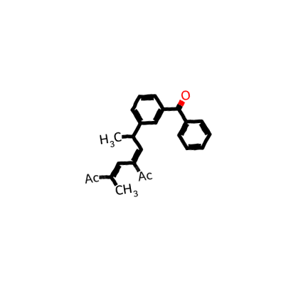 CC(=O)C(C)=CC(=CC(C)c1cccc(C(=O)c2ccccc2)c1)C(C)=O